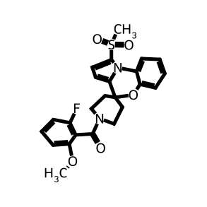 COc1cccc(F)c1C(=O)N1CCC2(CC1)Oc1ccccc1-n1c2ccc1S(C)(=O)=O